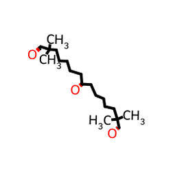 CC(C)(C=O)CCCCCC(=O)CCCCCC(C)(C)C=O